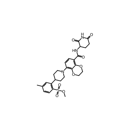 COS(=O)(=O)c1ccc(C)cc1C1CCN(c2ccc(C(=O)NC3CCC(=O)NC3=O)c3c2OCCO3)CC1